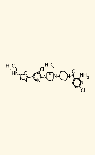 CCNc1nnc(-c2cnc(N3CCN(C4CCN(C(=O)c5ccc(Cl)nc5N)CC4)[C@@H](CC)C3)c(Cl)c2)o1